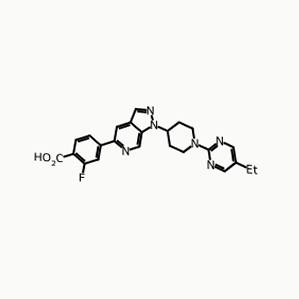 CCc1cnc(N2CCC(n3ncc4cc(-c5ccc(C(=O)O)c(F)c5)ncc43)CC2)nc1